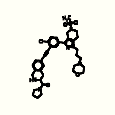 CS(=O)(=O)N1CCc2c(c(-c3ccc(Cl)c(C#Cc4ccc5c(c4)CC(C(=O)N4CCCC4)NC5)c3)nn2CCCN2CCOCC2)C1